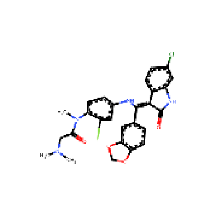 CN(C)CC(=O)N(C)c1ccc(NC(=C2C(=O)Nc3cc(Cl)ccc32)c2ccc3c(c2)OCO3)cc1F